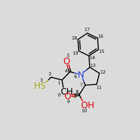 CC(CS)C(=O)N1C(C(=O)O)CCC1c1ccccc1